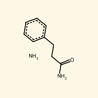 N.NC(=O)CCc1ccccc1